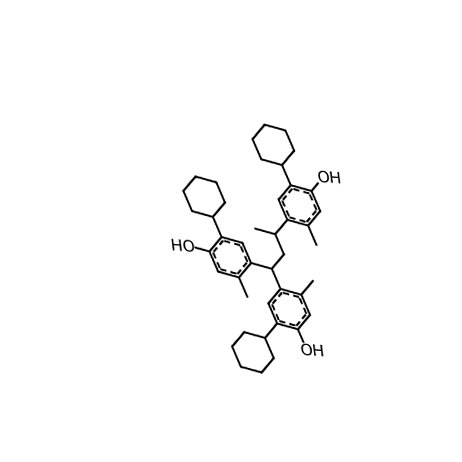 Cc1cc(O)c(C2CCCCC2)cc1C(C)CC(c1cc(C2CCCCC2)c(O)cc1C)c1cc(C2CCCCC2)c(O)cc1C